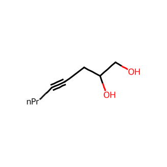 CCCC#CCC(O)CO